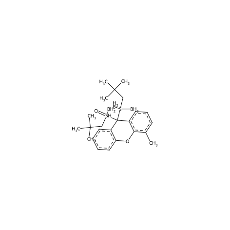 BS(B)(CC(C)(C)C)C1([SH](B)(=O)CC(C)(C)C)c2ccccc2Oc2c(C)cccc21